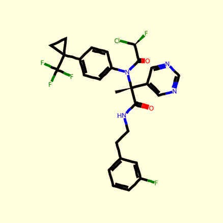 C[C@](C(=O)NCCc1cccc(F)c1)(c1cncnc1)N(C(=O)[C@H](F)Cl)c1ccc(C2(C(F)(F)F)CC2)cc1